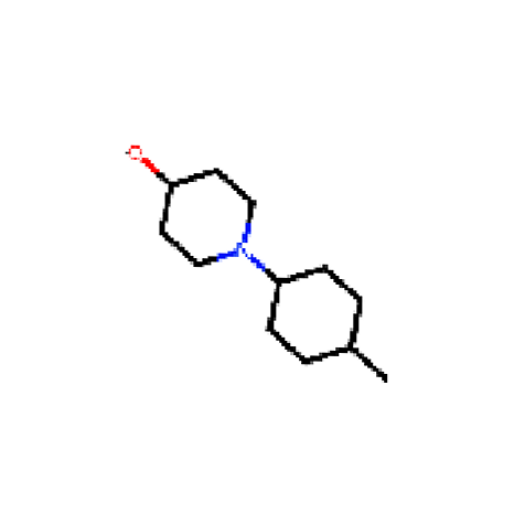 CC1CCC(N2CCC([O])CC2)CC1